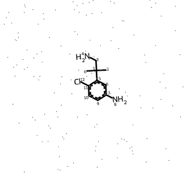 CC(C)(CN)c1cc(N)ccc1Cl